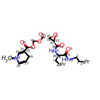 CC(C)CCNC(=O)[C@@H](CC(C)C)NC(=O)[C@@H]1O[C@H]1C(=O)OCOC(=O)C1=CN(C)C=CC1